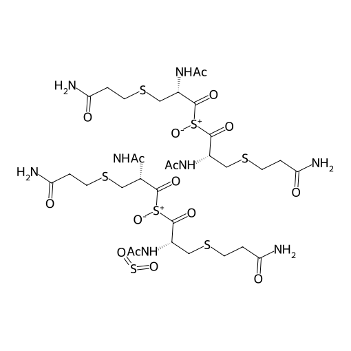 CC(=O)N[C@@H](CSCCC(N)=O)C(=O)[S+]([O-])C(=O)[C@H](CSCCC(N)=O)NC(C)=O.CC(=O)N[C@@H](CSCCC(N)=O)C(=O)[S+]([O-])C(=O)[C@H](CSCCC(N)=O)NC(C)=O.O=S=O